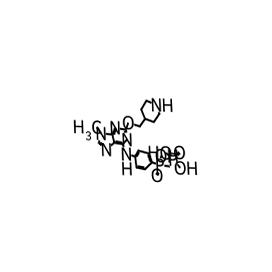 Cn1cnc2c(Nc3ccc(P(=O)(O)CP(=O)(O)O)cc3)nc(OCC3CCNCC3)nc21